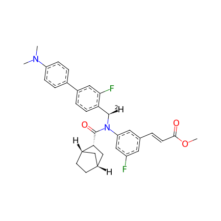 [2H][C@H](c1ccc(-c2ccc(N(C)C)cc2)cc1F)N(C(=O)[C@@H]1C[C@@H]2CC[C@H]1C2)c1cc(F)cc(/C=C/C(=O)OC)c1